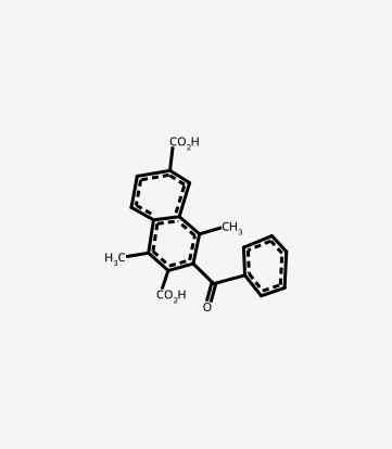 Cc1c(C(=O)O)c(C(=O)c2ccccc2)c(C)c2cc(C(=O)O)ccc12